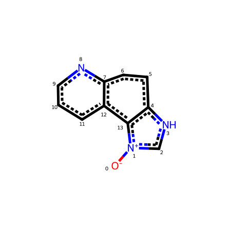 [O-][n+]1c[nH]c2ccc3ncccc3c21